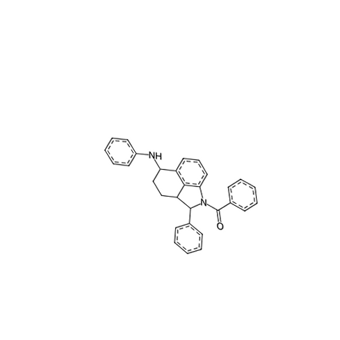 O=C(c1ccccc1)N1c2cccc3c2C(CCC3Nc2ccccc2)C1c1ccccc1